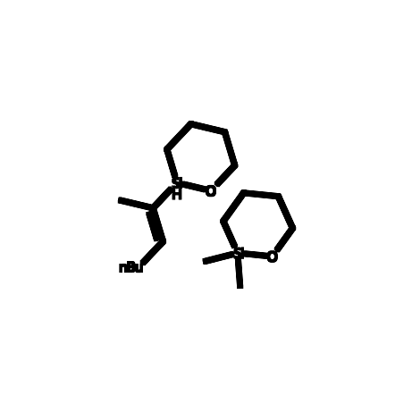 CCCCC=C(C)[SiH]1CCCCO1.C[Si]1(C)CCCCO1